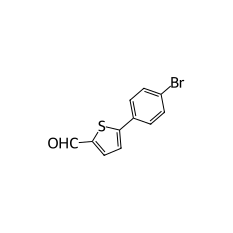 O=Cc1ccc(-c2ccc(Br)cc2)s1